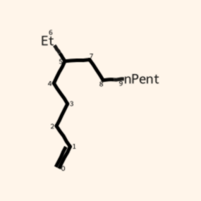 C=CCCCC(CC)CCCCCCC